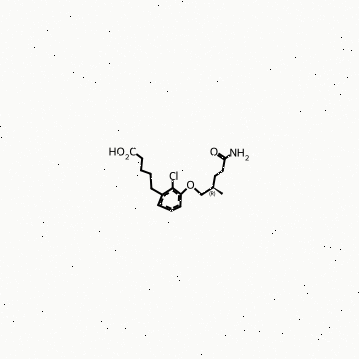 C[C@H](CCC(N)=O)COc1cccc(CCCCC(=O)O)c1Cl